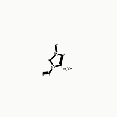 C=CN1C=CN(C)C1.[Co]